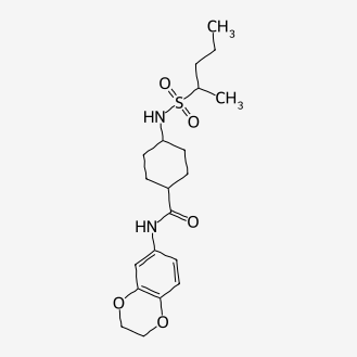 CCCC(C)S(=O)(=O)NC1CCC(C(=O)Nc2ccc3c(c2)OCCO3)CC1